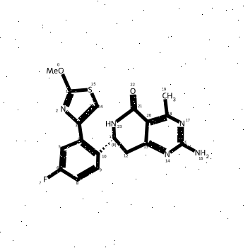 COc1nc(-c2cc(F)ccc2[C@H]2Cc3nc(N)nc(C)c3C(=O)N2)cs1